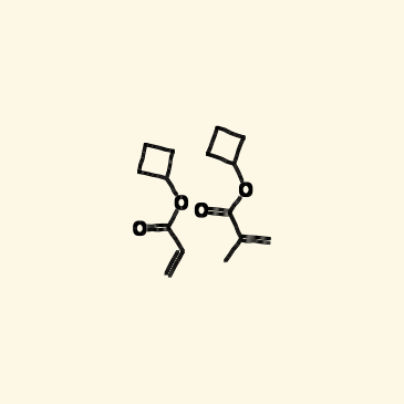 C=C(C)C(=O)OC1CCC1.C=CC(=O)OC1CCC1